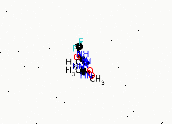 CONC(=O)c1ccc(C)c(Nc2ncnn3cc(C(=O)NCc4ccc(F)cc4F)c(C)c23)c1